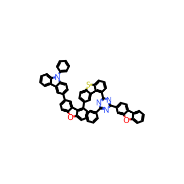 c1ccc(-c2nc(-c3ccc4c(c3)oc3ccccc34)nc(-c3cccc4sc5ccc(-c6cccc7oc8ccc(-c9ccc%10c(c9)c9ccccc9n%10-c9ccccc9)cc8c67)cc5c34)n2)cc1